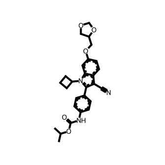 CC(C)OC(=O)Nc1ccc(-c2c(C#N)c3ccc(OCC4COCO4)cc3n2C2CCC2)cc1